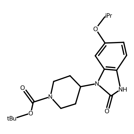 CC(C)Oc1ccc2[nH]c(=O)n(C3CCN(C(=O)OC(C)(C)C)CC3)c2c1